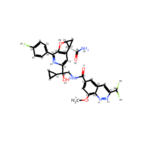 COc1cc(C(=O)NCC(O)(c2cc3c(c(-c4ccc(F)cc4)n2)OC2C[C@@]32C(N)=O)C2CC2)cc2cc(C(F)F)nnc12